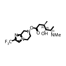 CN[C@@H](C)[C@H](O)[C@H](C)CC(=O)ON1CCn2cc(C(F)(F)F)nc2C1